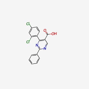 O=C(O)c1cnc(-c2ccccc2)nc1-c1ccc(Cl)cc1Cl